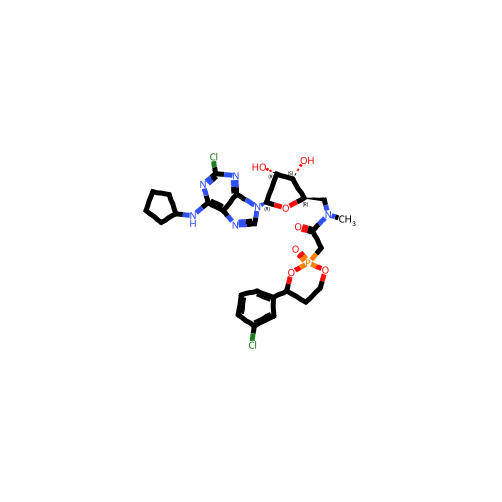 CN(C[C@H]1O[C@@H](n2cnc3c(NC4CCCC4)nc(Cl)nc32)[C@H](O)[C@@H]1O)C(=O)CP1(=O)OCCC(c2cccc(Cl)c2)O1